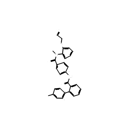 Cc1ccc(-c2ccccc2C(=O)Nc2ccc(C(=O)N(C)c3ccccc3OCC=O)cc2)cc1